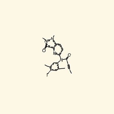 CC#CC(=O)N(c1ccc2c(n1)c(=O)n(C)n2C)c1cc(C)c(I)cc1C